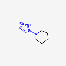 C1CCN(n2[nH][nH][nH][nH]2)CC1